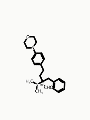 CN(C)[C@@](C=O)(CCc1ccc(N2CCOCC2)cc1)Cc1ccccc1